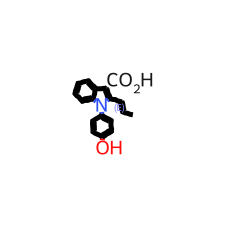 C/C=C/c1c(C(=O)O)c2ccccc2n1-c1ccc(O)cc1